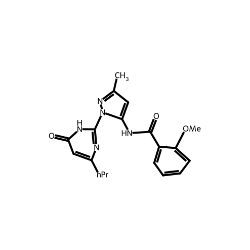 CCCc1cc(=O)[nH]c(-n2nc(C)cc2NC(=O)c2ccccc2OC)n1